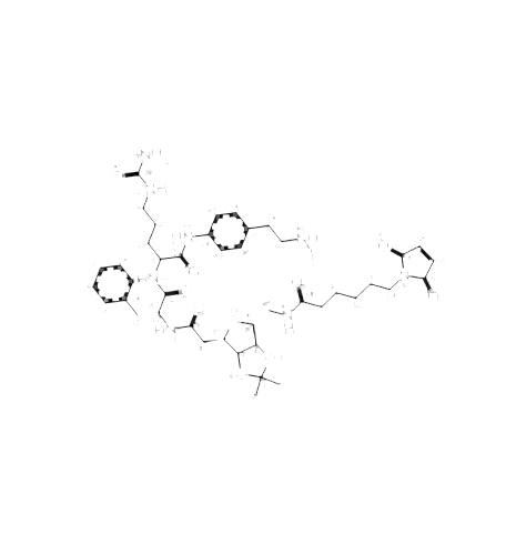 CC1(C)OC2C(O1)[C@@H](CC(=O)N[C@H](Cc1ccccc1)C(=O)NC(CCCNC(N)=O)C(=O)Nc1ccc(CCNF)cc1)O[C@@H]2CNC(=O)CCCCCN1C(=O)C=CC1=O